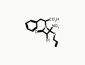 C=CCSC1([N+](=O)[O-])C(CC)C(=O)N1C(Cc1ccccc1)C(=O)O